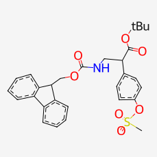 CC(C)(C)OC(=O)C(CNC(=O)OCC1c2ccccc2-c2ccccc21)c1ccc(OS(C)(=O)=O)cc1